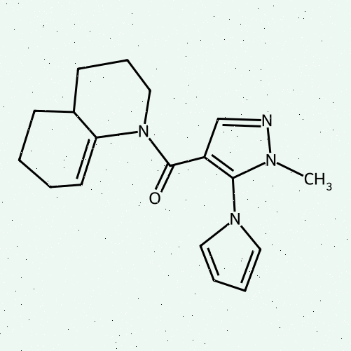 Cn1ncc(C(=O)N2CCCC3CCCC=C32)c1-n1cccc1